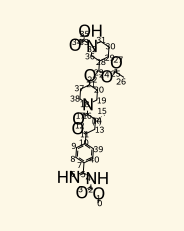 COC(=O)NC(=N)c1ccc(C(=O)C[C@@H](C)C(=O)N2CCC(OC(OC(C)=O)C3CCCN(C(=O)O)C3)CC2)cc1